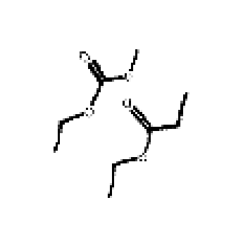 CCOC(=O)CC.CCOC(=O)OC